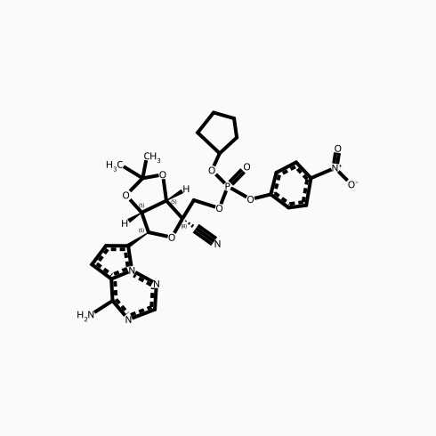 CC1(C)O[C@H]2[C@H](c3ccc4c(N)ncnn34)O[C@](C#N)(COP(=O)(Oc3ccc([N+](=O)[O-])cc3)OC3CCCC3)[C@H]2O1